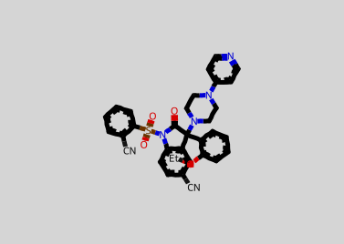 CCOc1ccccc1C1(N2CCN(c3ccncc3)CC2)C(=O)N(S(=O)(=O)c2ccccc2C#N)c2ccc(C#N)cc21